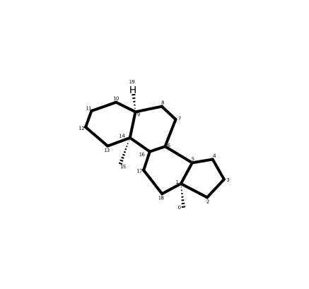 C[C@@]12CCCC1C1CC[C@@H]3CCCC[C@]3(C)C1CC2